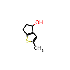 Cc1cc2c(s1)CCC2O